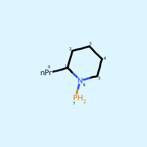 CCCC1CCCCN1P